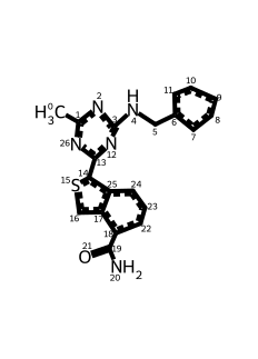 Cc1nc(NCc2ccccc2)nc(-c2scc3c(C(N)=O)cccc23)n1